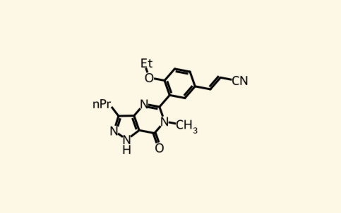 CCCc1n[nH]c2c(=O)n(C)c(-c3cc(/C=C/C#N)ccc3OCC)nc12